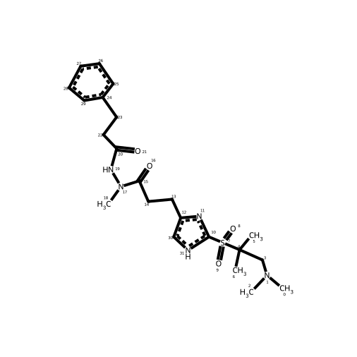 CN(C)CC(C)(C)S(=O)(=O)c1nc(CCC(=O)N(C)NC(=O)CCc2ccccc2)c[nH]1